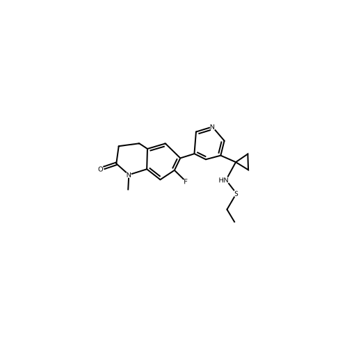 CCSNC1(c2cncc(-c3cc4c(cc3F)N(C)C(=O)CC4)c2)CC1